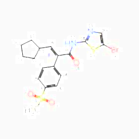 CS(=O)(=O)c1ccc(/C(=C\C2CCCC2)C(=O)Nc2ncc(Br)s2)cc1